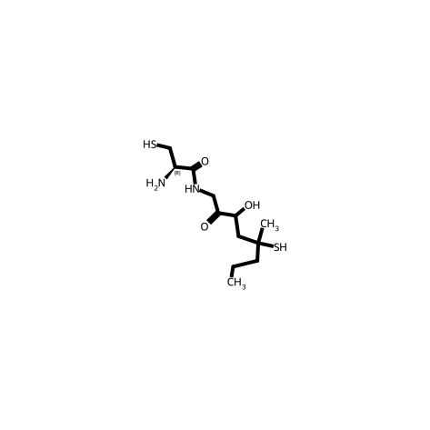 CCCC(C)(S)CC(O)C(=O)CNC(=O)[C@@H](N)CS